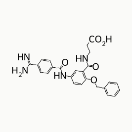 N=C(N)c1ccc(C(=O)Nc2ccc(OCc3ccccc3)c(C(=O)NCCC(=O)O)c2)cc1